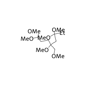 CCC(CC(CCC(OC)OC)(COC)OC)(OC)OC